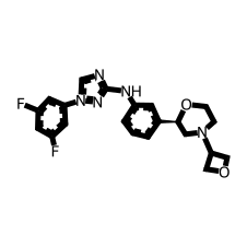 Fc1cc(F)cc(-n2cnc(Nc3cccc([C@@H]4CN(C5COC5)CCO4)c3)n2)c1